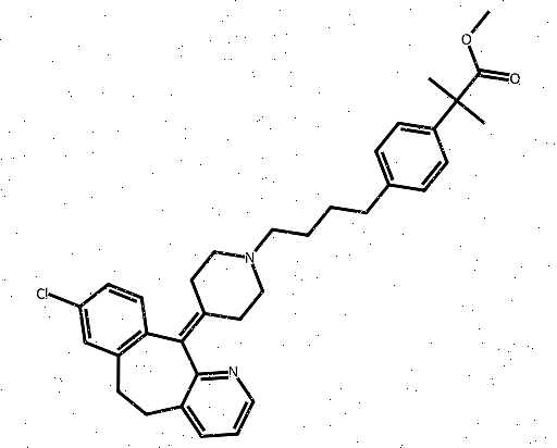 COC(=O)C(C)(C)c1ccc(CCCCN2CCC(=C3c4ccc(Cl)cc4CCc4cccnc43)CC2)cc1